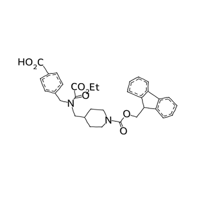 CCOC(=O)C(=O)N(Cc1ccc(C(=O)O)cc1)CC1CCN(C(=O)OCC2c3ccccc3-c3ccccc32)CC1